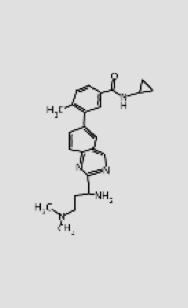 Cc1ccc(C(=O)NC2CC2)cc1-c1ccc2nc(C(N)CCN(C)C)ncc2c1